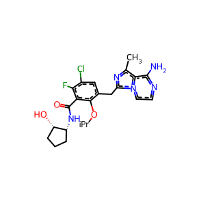 Cc1nc(Cc2cc(Cl)c(F)c(C(=O)N[C@@H]3CCC[C@@H]3O)c2OC(C)C)n2ccnc(N)c12